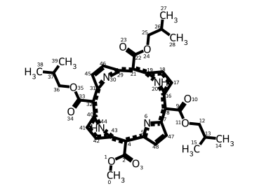 COC(=O)c1c2nc(c(C(=O)OCC(C)C)c3ccc([nH]3)c(C(=O)OCC(C)C)c3nc(c(C(=O)OCC(C)C)c4ccc1[nH]4)C=C3)C=C2